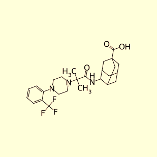 CC(C)(C(=O)NC1C2CC3CC1CC(C(=O)O)(C3)C2)N1CCN(c2ccccc2C(F)(F)F)CC1